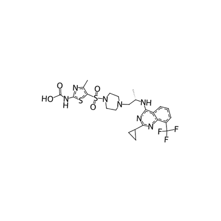 Cc1nc(NC(=O)O)sc1S(=O)(=O)N1CCN(C[C@H](C)Nc2nc(C3CC3)nc3c(C(F)(F)F)cccc23)CC1